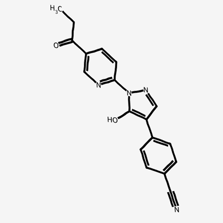 CCC(=O)c1ccc(-n2ncc(-c3ccc(C#N)cc3)c2O)nc1